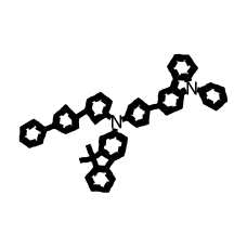 CC1(C)c2ccccc2-c2ccc(N(c3ccc(-c4ccc5c(c4)c4ccccc4n5-c4ccccc4)cc3)c3cccc(-c4ccc(-c5ccccc5)cc4)c3)cc21